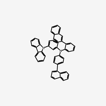 c1cc(N(c2ccc(-c3cccc4ccccc34)cc2)c2ccccc2-c2ccc3ccccc3c2)cc(-n2c3ccccc3c3ccccc32)c1